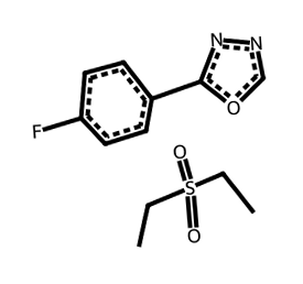 CCS(=O)(=O)CC.Fc1ccc(-c2nnco2)cc1